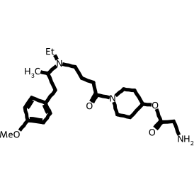 CCN(CCCC(=O)N1CCC(OC(=O)CN)CC1)C(C)Cc1ccc(OC)cc1